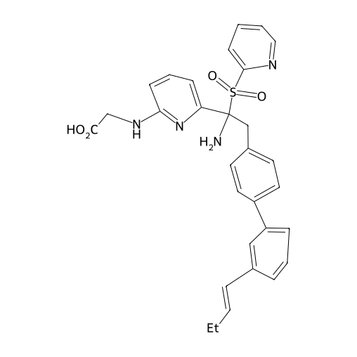 CC/C=C/c1cccc(-c2ccc(CC(N)(c3cccc(NCC(=O)O)n3)S(=O)(=O)c3ccccn3)cc2)c1